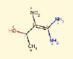 CC(O)C(=C(N)N)[N+](=O)[O-]